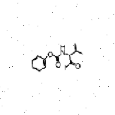 CC(C)[C@H](NC(=O)Oc1ccccc1)C(=O)I